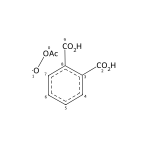 CC(=O)O[O].O=C(O)c1ccccc1C(=O)O